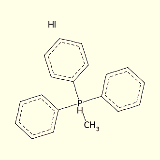 C[PH](c1ccccc1)(c1ccccc1)c1ccccc1.I